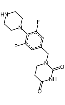 O=C1CCN(Cc2cc(F)c(N3CCNCC3)c(F)c2)C(=O)N1